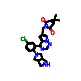 CC1(C)C2C(=O)N(Cc3cc4c(-c5cc(Cl)ccc5N5CC6CNCC6C5)ncnn4c3)C(=O)C21